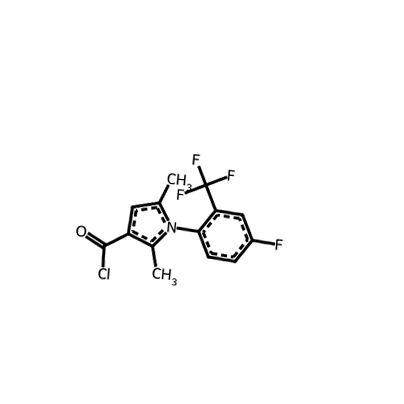 Cc1cc(C(=O)Cl)c(C)n1-c1ccc(F)cc1C(F)(F)F